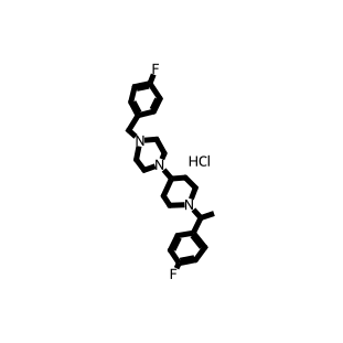 CC(c1ccc(F)cc1)N1CCC(N2CCN(Cc3ccc(F)cc3)CC2)CC1.Cl